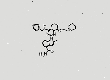 Cc1cc2c(C(N)=O)cccc2n1-c1nc(NCc2ccccc2)c2c(n1)C(OCCN1CCCCC1)CCC2